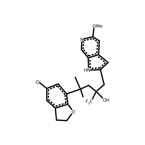 COc1cc2cc(CC(O)(CC(C)(C)c3cc(Cl)cc4c3OCC4)C(F)(F)F)[nH]c2cn1